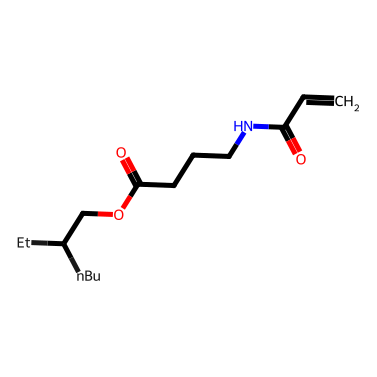 C=CC(=O)NCCCC(=O)OCC(CC)CCCC